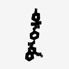 Nc1nc(NC[C@H]2CC[C@H](CNS(=O)(=O)c3ccc(F)cc3)CC2)nc2ccccc12